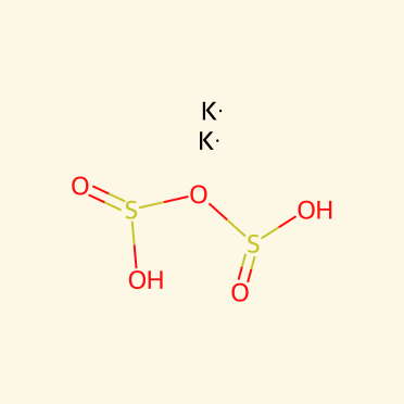 O=S(O)OS(=O)O.[K].[K]